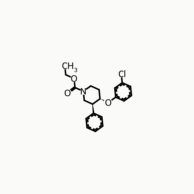 CCOC(=O)N1CC[C@H](Oc2cccc(Cl)c2)[C@@H](c2ccccc2)C1